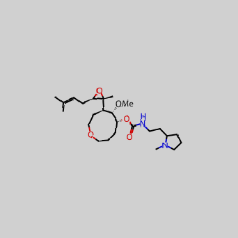 CO[C@H]1[C@H]([C@@]2(C)O[C@@H]2CC=C(C)C)CCOCCC[C@H]1OC(=O)NCCC1CCCN1C